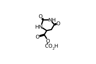 O=C1CC(C(=O)OC(=O)O)NC(=O)N1